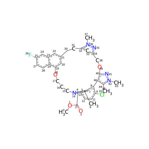 COC(=O)c1c(C)c2c3c(Cl)ccc2n1CCCOc1cc(cc2cc(F)ccc12)CCc1cc(nn1C)COc1nn(C)c(C)c1-3